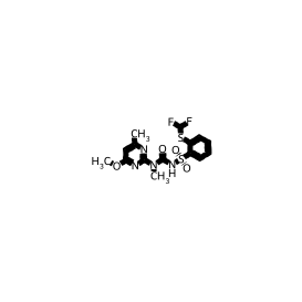 COc1cc(C)nc(N(C)C(=O)NS(=O)(=O)c2ccccc2SC(F)F)n1